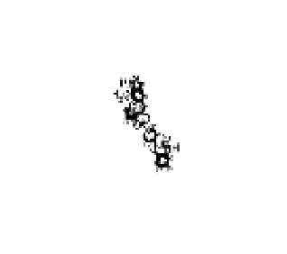 Cc1cc(CC(OC(=O)N2CCC(N3Cc4ccccc4NC3=O)CC2)c2ccco2)cc2cn[nH]c12